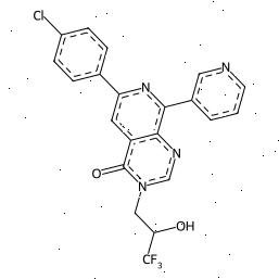 O=c1c2cc(-c3ccc(Cl)cc3)nc(-c3cccnc3)c2ncn1CC(O)C(F)(F)F